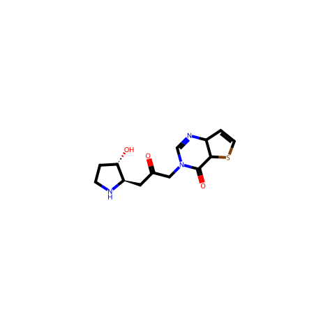 O=C(C[C@H]1NCC[C@@H]1O)CN1C=NC2C=CSC2C1=O